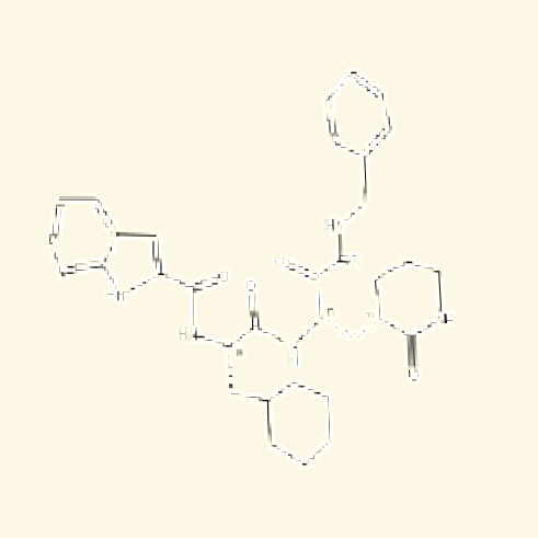 O=C(NCc1ccccc1)C(=O)[C@H](C[C@@H]1CCCNC1=O)NC(=O)[C@H](CC1CCCCC1)NC(=O)c1cc2ccccc2[nH]1